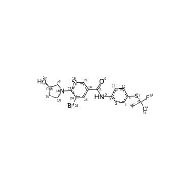 O=C(Nc1ccc(SC(F)(F)Cl)cc1)c1cnc(N2CC[C@@H](O)C2)c(Br)c1